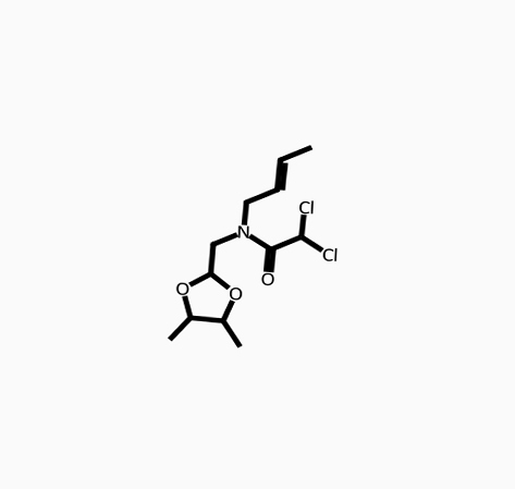 CC=CCN(CC1OC(C)C(C)O1)C(=O)C(Cl)Cl